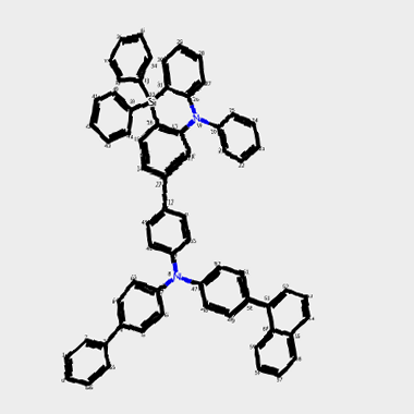 c1ccc(-c2ccc(N(c3ccc(-c4ccc5c(c4)N(c4ccccc4)c4ccccc4[Si]5(c4ccccc4)c4ccccc4)cc3)c3ccc(-c4cccc5ccccc45)cc3)cc2)cc1